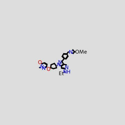 CCNc1cc2c(cn1)c(-c1ccc(CN3CC(OC)C3)cc1)nn2[C@H]1CC[C@@H](Oc2ccc(=O)n(C)n2)CC1